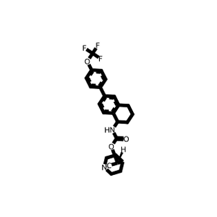 O=C(NC1CCCc2cc(-c3ccc(OC(F)(F)F)cc3)ccc21)O[C@H]1CN2CCC1CC2